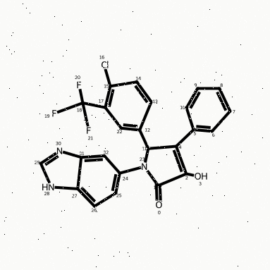 O=C1C(O)=C(c2ccccc2)C(c2ccc(Cl)c(C(F)(F)F)c2)N1c1ccc2[nH]cnc2c1